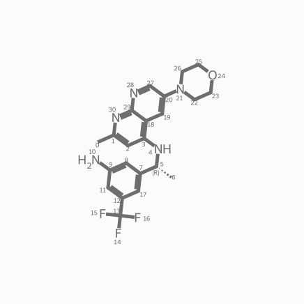 Cc1cc(N[C@H](C)c2cc(N)cc(C(F)(F)F)c2)c2cc(N3CCOCC3)cnc2n1